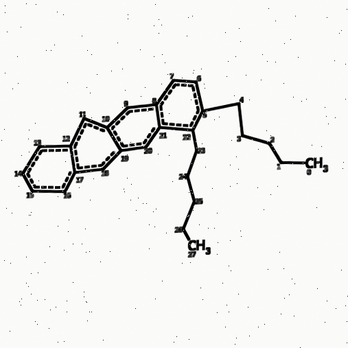 CCCCCc1ccc2cc3cc4ccccc4cc3cc2c1CCCCC